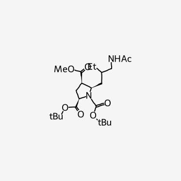 CCC(CNC(C)=O)C[C@@H]1[C@H](C(=O)OC)C[C@H](C(=O)OC(C)(C)C)N1C(=O)OC(C)(C)C